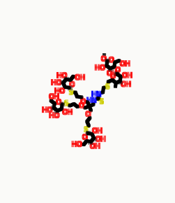 CO[C@H]1OC(CO)C(O[C@H]2OC(CSCCNC(=S)NCC(COCCCS[C@H]3OC(CO)[C@@H](O)[C@H](O)C3O)(COCCCS[C@H]3OC(CO)[C@@H](O)[C@H](O)C3O)COCCCS[C@H]3OC(CO)[C@@H](O)[C@H](O)C3O)C(C)[C@H](O)C2O)[C@H](O)C1O